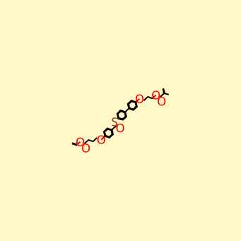 C=COC(=O)CCCOc1ccc(C(=O)Sc2ccc(-c3ccc(OCCCOC(=O)C(=C)C)cc3)cc2)cc1